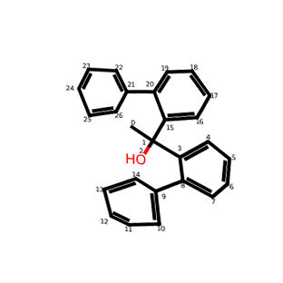 CC(O)(c1ccccc1-c1ccccc1)c1ccccc1-c1ccccc1